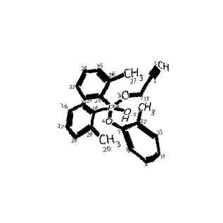 C#CCOP(O)(Oc1ccccc1C)(c1ccccc1C)c1ccccc1C